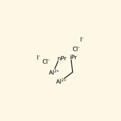 CC(C)[CH2][Al+2].CC[CH2][Al+2].[Cl-].[Cl-].[I-].[I-]